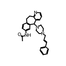 CC(=O)Nc1ccc2c(c1)C(N1CCN(CC=Cc3ccccc3)CC1)c1cccnc1CC2